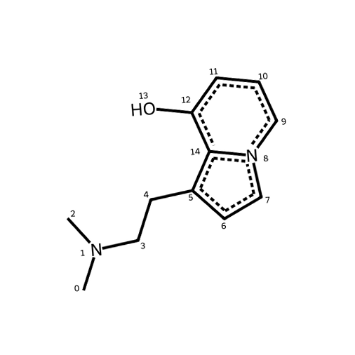 CN(C)CCc1ccn2cccc(O)c12